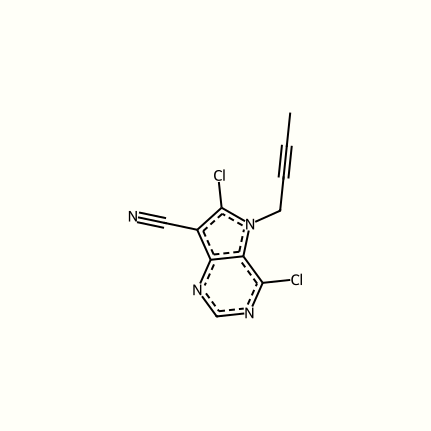 CC#CCn1c(Cl)c(C#N)c2ncnc(Cl)c21